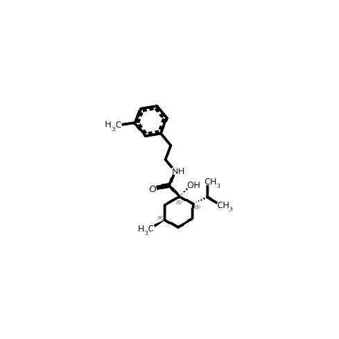 Cc1cccc(CCNC(=O)[C@]2(O)C[C@H](C)CC[C@H]2C(C)C)c1